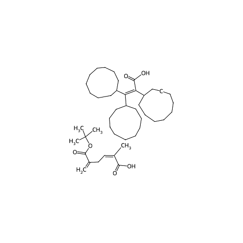 C=C(CC=C(C)C(=O)O)C(=O)OC(C)(C)C.O=C(O)C(=C(C1CCCCCCCCC1)C1CCCCCCCCC1)C1CCCCCCCCC1